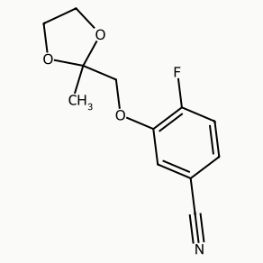 CC1(COc2cc(C#N)ccc2F)OCCO1